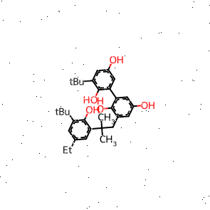 CCc1cc(C(C)(C)C)c(O)c(C(C)(C)Cc2cc(O)cc(-c3cc(O)cc(C(C)(C)C)c3O)c2O)c1